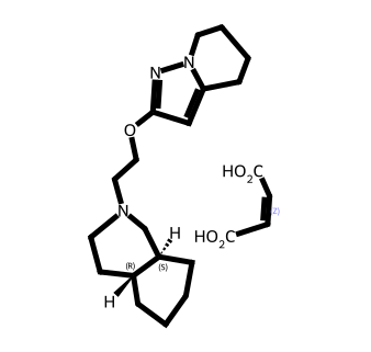 O=C(O)/C=C\C(=O)O.c1c(OCCN2CC[C@H]3CCCC[C@@H]3C2)nn2c1CCCC2